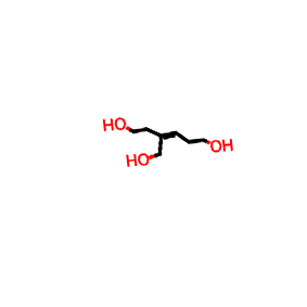 OCCC=C(CO)CCO